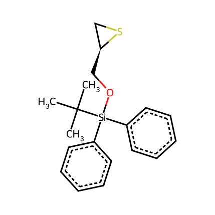 CC(C)(C)[Si](OC[C@H]1CS1)(c1ccccc1)c1ccccc1